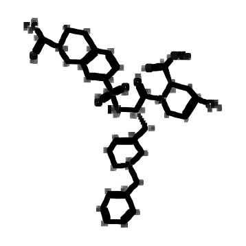 COC(=O)[C@H]1CC(C)=CCN1C(=O)[C@H](CC1=CCCN(Cc2ccccc2)C1)NS(=O)(=O)c1ccc2c(c1)CN(C(=O)C(F)(F)F)CC2